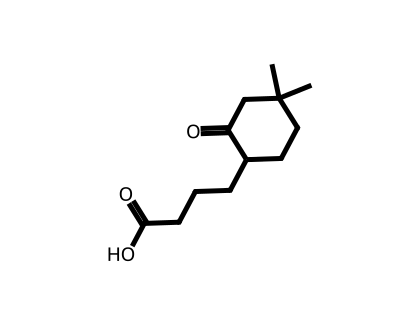 CC1(C)CCC(CCCC(=O)O)C(=O)C1